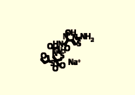 Nc1nc(C(=NO)C(=O)NC2C(=O)N3CC(SC4CCOC4)(C(=O)[O-])CS[C@H]23)cs1.[Na+]